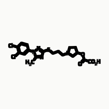 Cc1nc(SCCCN2CCC(OC(=O)C(=O)O)C2)nn1-c1ccc(Cl)c(Cl)c1